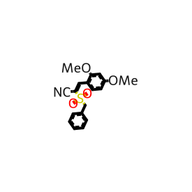 COc1ccc(/C=C(/C#N)S(=O)(=O)Cc2ccccc2)c(OC)c1